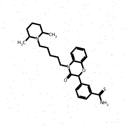 CC1CCCC(C)N1CCCCCN1C(=O)C(c2cccc(C(N)=S)c2)Oc2ccccc21